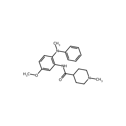 COc1ccc(N(C)c2ccccc2)c(NC(=O)C2CCN(C)CC2)c1